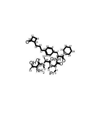 CC(C)C[C@@H](C(=O)N[C@@H](CC1C=CC(CCCC2CCC2=O)=CC1)C(=O)N1CCCCC1)N(C)C(=O)[C@H](C)N(C)C(=O)[C@@H](N)[C@@H](C)O